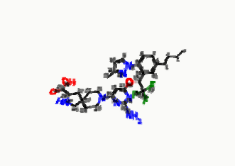 CCCCc1ccc(-n2ccc(C)n2)c([C@@H](Oc2cc(N3CCC4(CC3)CNC(C(=O)O)C4)nc(N)n2)C(F)(F)F)c1